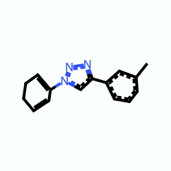 Cc1cccc(-c2cn(C3=CCCC=C3)nn2)c1